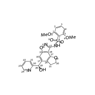 COc1cccc(OC)c1S(=O)(=O)Nc1noc2cc([C@@H](O)c3ccccn3)c3c(c12)OCC3